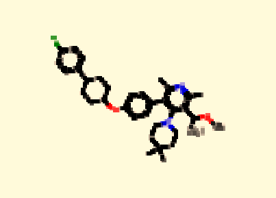 Cc1nc(C)c(C(OC(C)(C)C)C(=O)O)c(N2CCC(C)(C)CC2)c1-c1ccc(OC2CCC(c3ccc(F)cc3)CC2)cc1